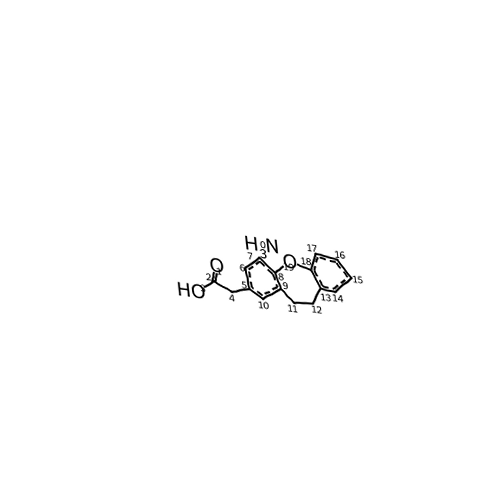 N.O=C(O)Cc1ccc2c(c1)CCc1ccccc1O2